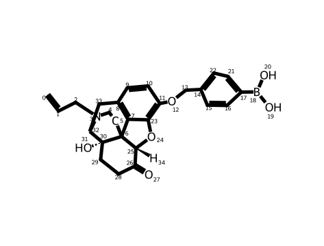 C=CCN1CCC23c4c5ccc(OCc6ccc(B(O)O)cc6)c4O[C@@H]2C(=O)CC[C@@]3(O)C1C5